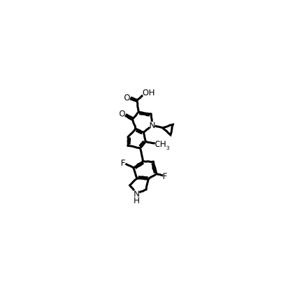 Cc1c(-c2cc(F)c3c(c2F)CNC3)ccc2c(=O)c(C(=O)O)cn(C3CC3)c12